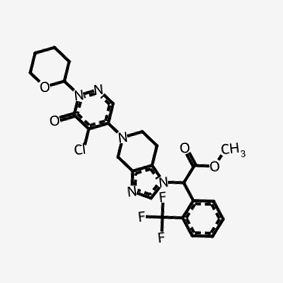 COC(=O)C(c1ccccc1C(F)(F)F)n1cnc2c1CCN(c1cnn(C3CCCCO3)c(=O)c1Cl)C2